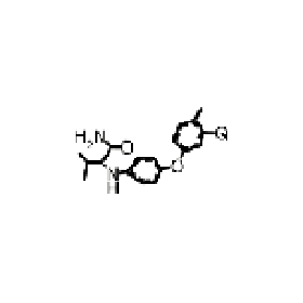 COc1cc(Oc2ccc(N[C@@H](C(N)=O)C(C)C)cc2)ccc1C